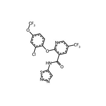 O=C(Nc1cnns1)c1cc(C(F)(F)F)cnc1Oc1ccc(OC(F)(F)F)cc1Cl